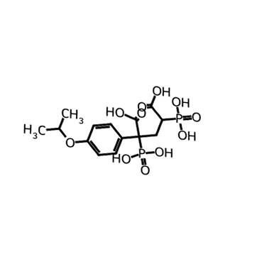 CC(C)Oc1ccc(C(CC(C(=O)O)P(=O)(O)O)(C(=O)O)P(=O)(O)O)cc1